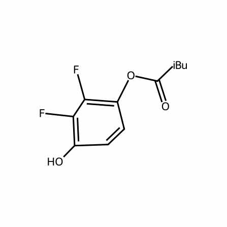 CCC(C)C(=O)Oc1ccc(O)c(F)c1F